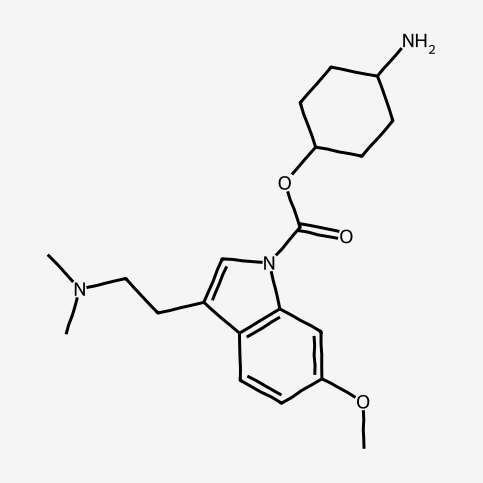 COc1ccc2c(CCN(C)C)cn(C(=O)OC3CCC(N)CC3)c2c1